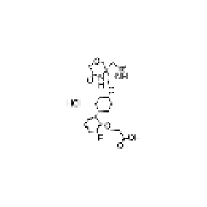 C[C@@H]1CC2(COCC(=O)N2)C(COC2CCC(c3cccc(F)c3OCCC(=O)O)CC2)N1.Cl